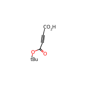 CC(C)(C)OC(=O)C#CC(=O)O